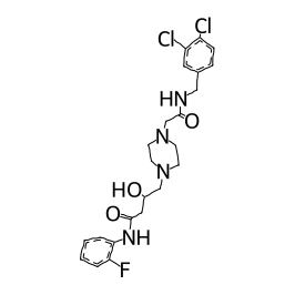 O=C(CN1CCN(CC(O)CC(=O)Nc2ccccc2F)CC1)NCc1ccc(Cl)c(Cl)c1